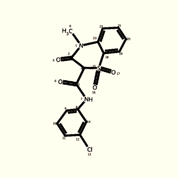 CN1C(=O)C(C(=O)Nc2cccc(Cl)c2)S(=O)(=O)c2ccccc21